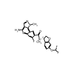 CN(C(=O)c1cc2c(cc1F)nc(N)c1cnn(C)c12)[C@@H]1COc2cc(OC(F)F)ccc21